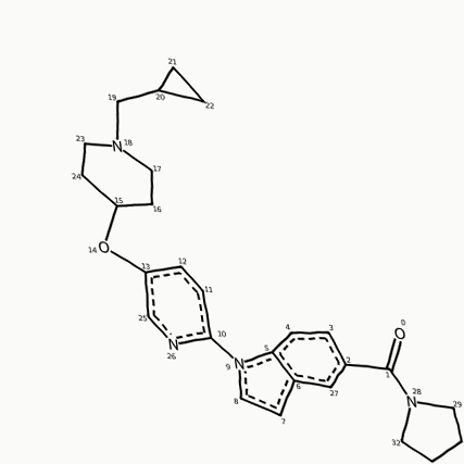 O=C(c1ccc2c(ccn2-c2ccc(OC3CCN(CC4CC4)CC3)cn2)c1)N1CCCC1